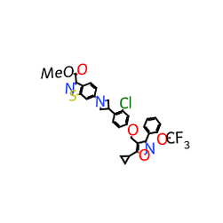 COC(=O)c1nsc2cc(N3CC(c4ccc(OCc5c(-c6ccccc6OC(F)(F)F)noc5C5CC5)cc4Cl)C3)ccc12